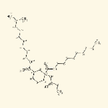 C=CC(=O)OC1(C(=O)OCCCCCCCCC)CCCC(C(=O)OCCCCCCCC(C)C)C1